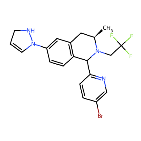 C[C@@H]1Cc2cc(N3C=CCN3)ccc2C(c2ccc(Br)cn2)N1CC(F)(F)F